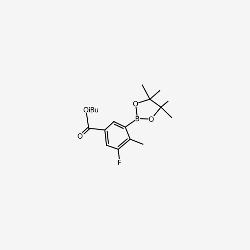 Cc1c(F)cc(C(=O)OCC(C)C)cc1B1OC(C)(C)C(C)(C)O1